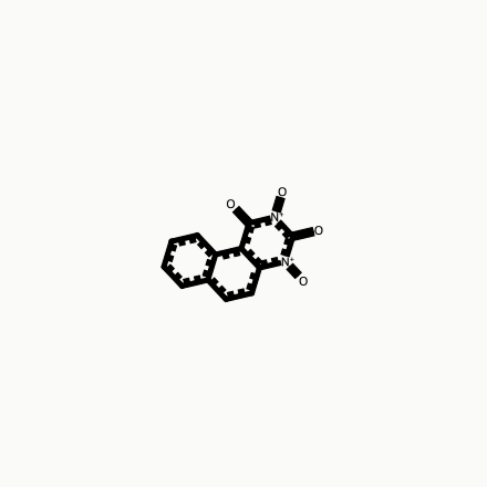 O=c1c2c3ccccc3ccc2[n+](=O)c(=O)[n+]1=O